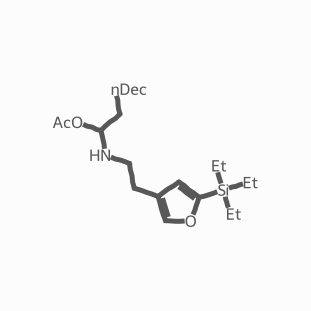 CCCCCCCCCCCC(NCCc1coc([Si](CC)(CC)CC)c1)OC(C)=O